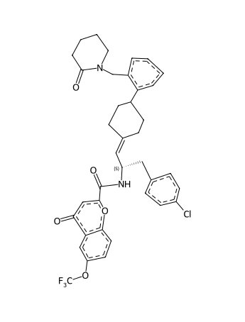 O=C(N[C@H](C=C1CCC(c2ccccc2CN2CCCCC2=O)CC1)Cc1ccc(Cl)cc1)c1cc(=O)c2cc(OC(F)(F)F)ccc2o1